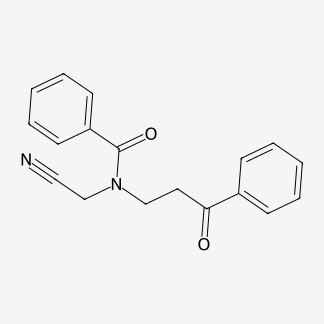 N#CCN(CCC(=O)c1ccccc1)C(=O)c1ccccc1